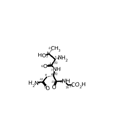 C[C@@H](O)[C@H](N)C(=O)N[C@@H](CC(N)=O)C(=O)NCC(=O)O